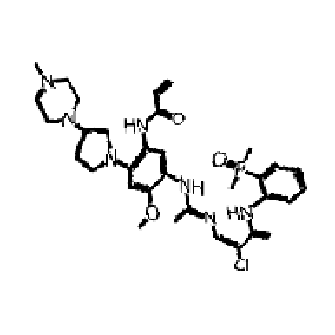 C=CC(=O)Nc1cc(N/C(C)=N/C=C(/Cl)C(=C)Nc2ccccc2P(C)(C)=O)c(OC)cc1N1CCC(N2CCN(C)CC2)C1